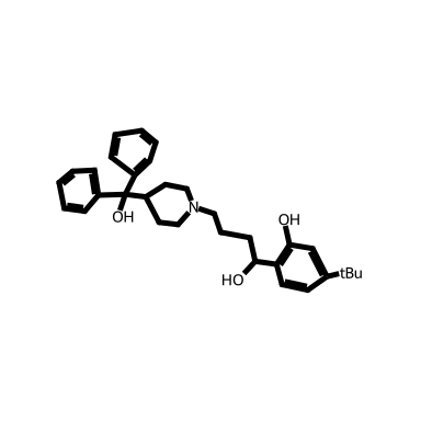 CC(C)(C)c1ccc(C(O)CCCN2CCC(C(O)(c3ccccc3)c3ccccc3)CC2)c(O)c1